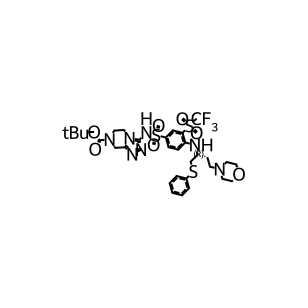 CC(C)(C)OC(=O)N1CCn2c(nnc2NS(=O)(=O)c2ccc(N[C@H](CCN3CCOCC3)CSc3ccccc3)c(S(=O)(=O)C(F)(F)F)c2)C1